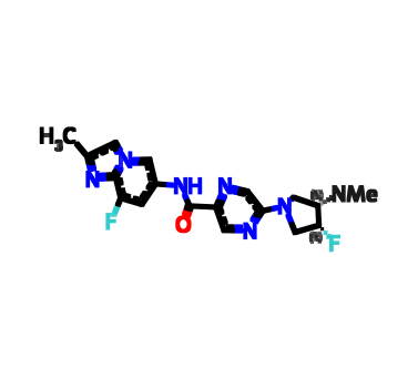 CN[C@H]1CN(c2cnc(C(=O)Nc3cc(F)c4nc(C)cn4c3)cn2)C[C@H]1F